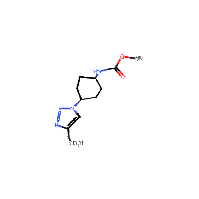 CC(C)(C)OC(=O)N[C@H]1CC[C@@H](n2cc(C(=O)O)nn2)CC1